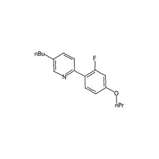 CCCCc1ccc(-c2ccc(OCCC)cc2F)nc1